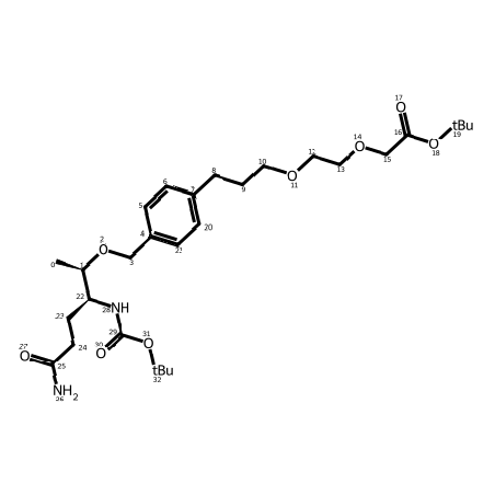 C[C@@H](OCc1ccc(CCCOCCOCC(=O)OC(C)(C)C)cc1)[C@H](CCC(N)=O)NC(=O)OC(C)(C)C